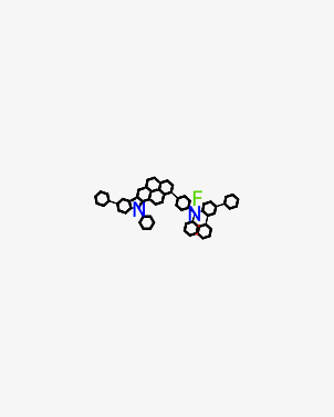 Fc1cc(-c2ccccc2)cc(-c2ccccc2)c1N(c1ccccc1)c1ccc(-c2ccc3ccc4cc5c6cc(-c7ccccc7)ccc6n(-c6ccccc6)c5c5ccc2c3c45)cc1